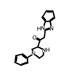 O=C(Cc1nc2ccccc2[nH]1)C1CN(c2ccccc2)CCN1